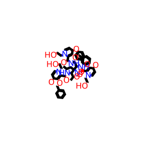 CCC(NC(=O)c1c(OCc2ccccc2)c(=O)ccn1CCO)C(C(CC)NC(=O)c1c(OCc2ccccc2)c(=O)ccn1CCO)(C(CC)NC(=O)c1c(OCc2ccccc2)c(=O)ccn1CCO)[N+](=O)[O-]